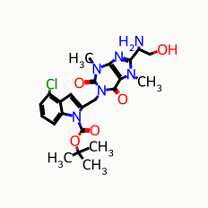 Cn1c(C(N)CO)nc2c1c(=O)n(Cc1cc3c(Cl)cccc3n1C(=O)OC(C)(C)C)c(=O)n2C